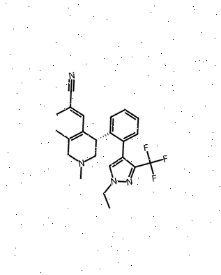 CCn1cc(-c2ccccc2[C@@H]2CN(C)CC(C)=C2/C=C(\C)C#N)c(C(F)(F)F)n1